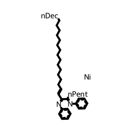 CCCCCCCCCCCCCCCCCCCCCCCCC=CC(=Nc1ccccc1)C(CCCCC)=Nc1ccccc1.[Ni]